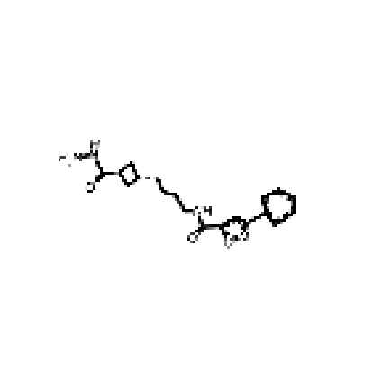 NNC(=O)[C@H]1C[C@H](CCCCNC(=O)c2cc(-c3ccccc3)no2)C1